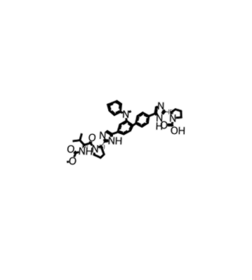 COC(=O)N[C@H](C(=O)N1CCC[C@H]1c1ncc(-c2ccc(-c3ccc(-c4cnc([C@@H]5CCCN5C(=O)O)[nH]4)cc3)c(N(C)c3ccccc3)c2)[nH]1)C(C)C